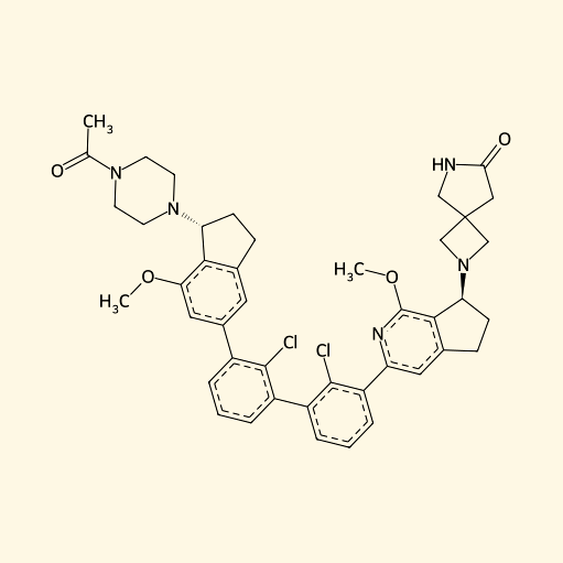 COc1cc(-c2cccc(-c3cccc(-c4cc5c(c(OC)n4)[C@@H](N4CC6(CNC(=O)C6)C4)CC5)c3Cl)c2Cl)cc2c1[C@H](N1CCN(C(C)=O)CC1)CC2